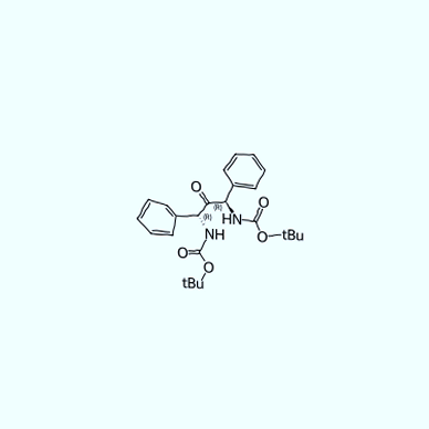 CC(C)(C)OC(=O)N[C@@H](C(=O)[C@H](NC(=O)OC(C)(C)C)c1ccccc1)c1ccccc1